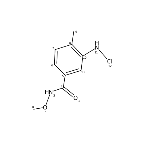 CONC(=O)c1ccc(C)c(NCl)c1